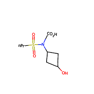 CCCS(=O)(=O)N(C(=O)O)C1CC(O)C1